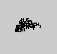 CC[C@]1(O)C(=O)OCc2c1cc1n(c2=O)Cc2c-1nc1cc(F)c(C)c3c1c2[C@@H](C)CC3